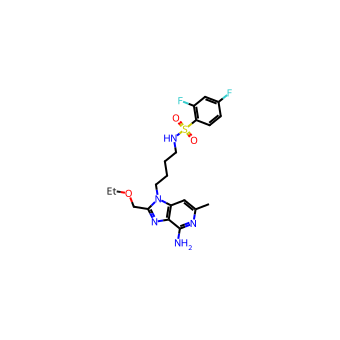 CCOCc1nc2c(N)nc(C)cc2n1CCCCNS(=O)(=O)c1ccc(F)cc1F